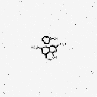 CC(=O)Nc1cc(S(=O)(=O)O)cc2cc(S(=O)(=O)O)cc(O)c12.Oc1ccccc1